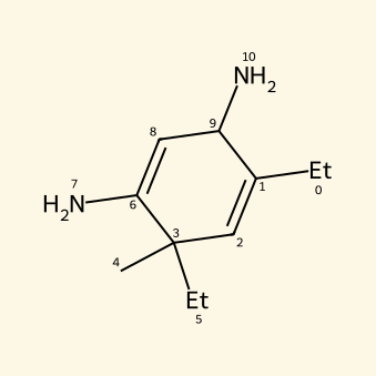 CCC1=CC(C)(CC)C(N)=CC1N